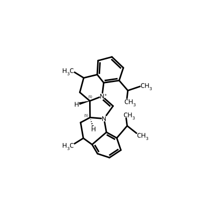 CC(C)c1cccc2c1N1C=[N+]3c4c(C(C)C)cccc4C(C)C[C@H]3[C@@H]1CC2C